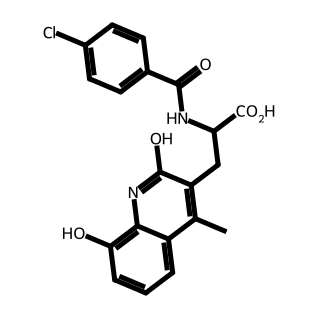 Cc1c(CC(NC(=O)c2ccc(Cl)cc2)C(=O)O)c(O)nc2c(O)cccc12